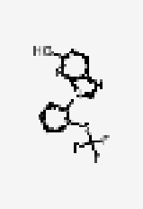 Oc1ccc2ncn(-c3ccccc3SC(F)(F)F)c2n1